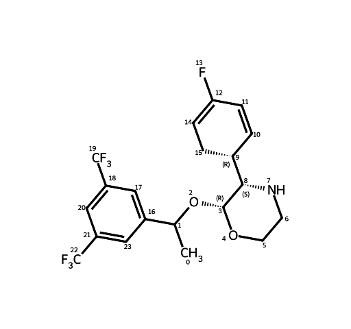 CC(O[C@H]1OCCN[C@H]1[C@H]1C=CC(F)=CC1)c1cc(C(F)(F)F)cc(C(F)(F)F)c1